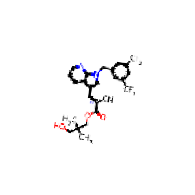 CC(C)(CO)COC(=O)/C(C#N)=C/c1cn(Cc2cc(C(F)(F)F)cc(C(F)(F)F)c2)c2ncccc12